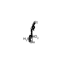 CCOCOc1ccc2nc(/C=C/C=C/c3ccc(N(C)C(=O)OC(C)(C)C)nc3[N+](=O)[O-])sc2c1